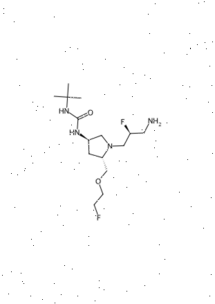 CC(C)(C)NC(=O)N[C@@H]1C[C@@H](COCCF)N(C[C@@H](F)CN)C1